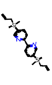 C=CC[Si](C)(C)c1ccc(-c2ccc([Si](C)(C)CC=C)cn2)nc1